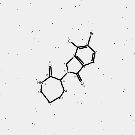 Cc1c(Br)ccc2c1CN(C1CCCCNC1=O)C2=O